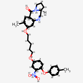 Cc1ccc(Oc2ccc(OCCCCCOc3cc4c(cc3C)C(=O)N3CCC[C@H]3C=N4)cc2[N+](=O)[O-])cc1